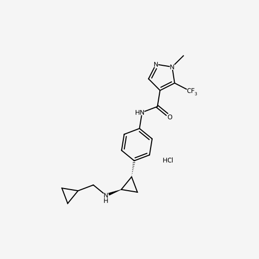 Cl.Cn1ncc(C(=O)Nc2ccc([C@@H]3C[C@H]3NCC3CC3)cc2)c1C(F)(F)F